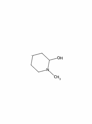 CN1CC[CH]CC1O